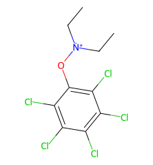 CC[N+](CC)Oc1c(Cl)c(Cl)c(Cl)c(Cl)c1Cl